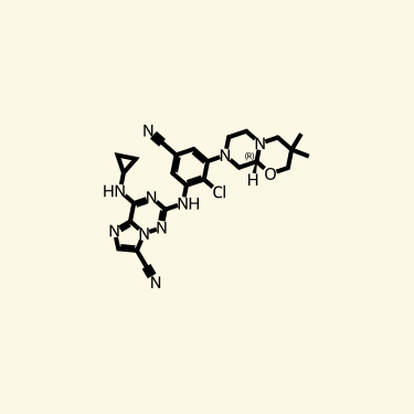 CC1(C)CO[C@@H]2CN(c3cc(C#N)cc(Nc4nc(NC5CC5)c5ncc(C#N)n5n4)c3Cl)CCN2C1